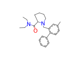 CCN(CC)C(=O)C1CCCCN1Cc1cc(C)ccc1-c1ccccc1